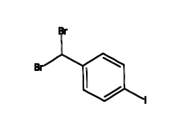 BrC(Br)c1ccc(I)cc1